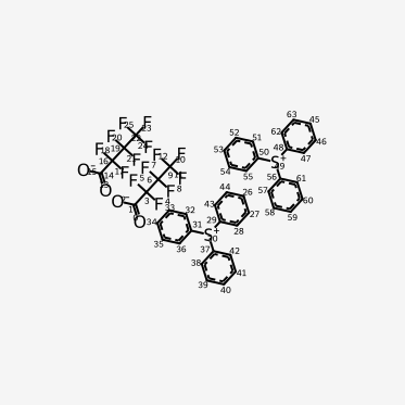 O=C([O-])C(F)(F)C(F)(F)C(F)(F)F.O=C([O-])C(F)(F)C(F)(F)C(F)(F)F.c1ccc([S+](c2ccccc2)c2ccccc2)cc1.c1ccc([S+](c2ccccc2)c2ccccc2)cc1